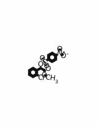 COC(=O)[C@H](OS(=O)(=O)c1ccc([N+](=O)[O-])cc1)c1ccccc1Cl